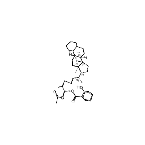 CC(=O)OC(OC(=O)c1ccccc1O)C(C)CCC[C@@H](C)[C@H]1CC[C@H]2[C@@H]3CCC4CCCC[C@]4(C)[C@H]3CC[C@]12C